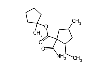 CCC1CC(C)CC1(C(N)=O)C(=O)OC1(C)CCCC1